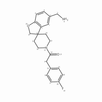 NCc1ccc2c(c1)C1(CCN(C(=O)Cc3ccc(F)cc3)CC1)CO2